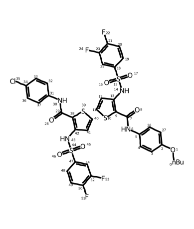 CCCCOc1ccc(NC(=O)c2sccc2NS(=O)(=O)c2ccc(F)c(F)c2)cc1.O=C(Nc1ccc(Cl)cc1)c1sccc1NS(=O)(=O)c1ccc(F)c(F)c1